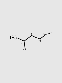 [CH2]C(C)(C)C(C)CCC(C)C